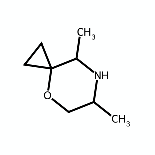 CC1COC2(CC2)C(C)N1